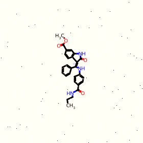 CCCNC(=O)c1ccc(N/C(=C2\C(=O)Nc3cc(C(=O)OC)ccc32)c2ccccc2)cc1